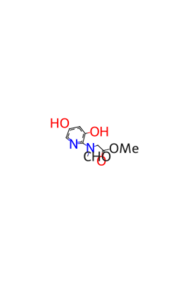 COC(=O)CN(C=O)c1ncc(O)cc1O